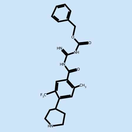 Cc1cc(C2CCNCC2)c(C(F)(F)F)cc1C(=O)NC(=N)NC(=O)OCc1ccccc1